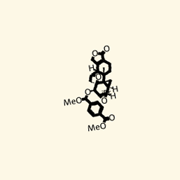 COC(=O)c1ccc(C(OC)O[C@@H]2[C@@]3(C(C)C)O[C@H]3[C@@H]3C[C@@]34[C@@]3(C)CCC5=C(COC5=O)[C@H]3C3C[C@@]24O3)cc1